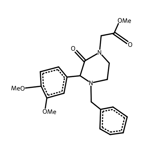 COC(=O)CN1CCN(Cc2ccccc2)C(c2ccc(OC)c(OC)c2)C1=O